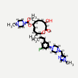 C/C(=C\c1cc(F)cc(N2CCN(Cc3cn(C)cn3)CC2)c1)[C@H]1OC(=O)C[C@H](O)CC[C@H](C)[C@@H](OC(=O)N2CCN(C)CC2)/C=C/[C@@H]1C